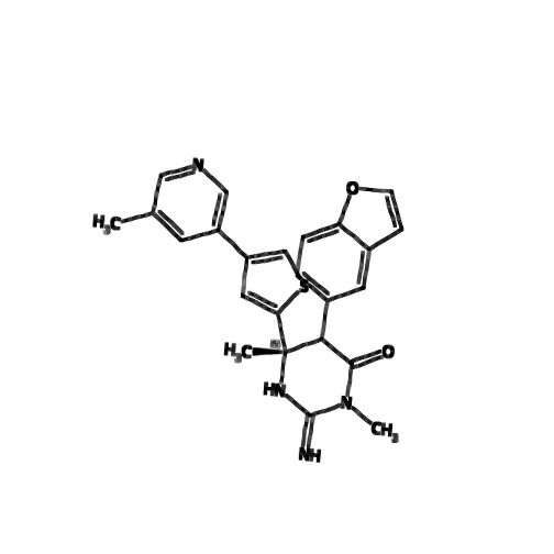 Cc1cncc(-c2csc([C@@]3(C)NC(=N)N(C)C(=O)C3c3ccc4occc4c3)c2)c1